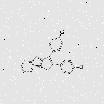 Clc1ccc(C2=C(c3ccc(Cl)cc3)c3cc4ccccc4n3C2)cc1